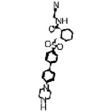 N#CCNC(=O)[C@H]1CCCC[C@@H]1CS(=O)(=O)c1ccc(-c2ccc(N3CCNCC3)cc2)cc1